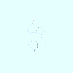 CC1([C@H](c2ccc(C(F)(F)F)c(F)c2)n2nc(CC(F)(F)F)c3c(=O)[nH]c(O)nc32)CC1